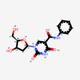 O=C(Nc1ccccc1)c1cn([C@H]2CC(O)[C@@H](CO)O2)c(=O)[nH]c1=O